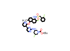 Cc1ccc2c(NS(=O)(=O)Cc3ccccc3F)c(F)ccc2c1Oc1ncccc1-c1ccnc(N[C@H]2C[C@H](F)CN(C(=O)OC(C)(C)C)C2)n1